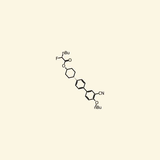 CCCCOc1ccc(-c2ccc([C@H]3CC[C@H](OC(=O)[C@@H](F)CCCC)CC3)cc2)cc1C#N